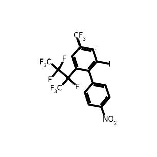 O=[N+]([O-])c1ccc(-c2c(I)[c]c(C(F)(F)F)cc2C(F)(C(F)(F)F)C(F)(F)C(F)(F)F)cc1